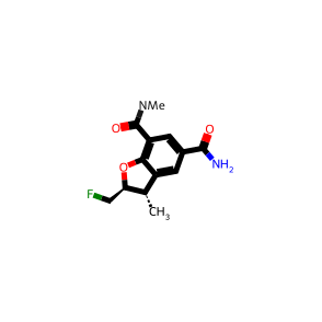 CNC(=O)c1cc(C(N)=O)cc2c1O[C@H](CF)[C@H]2C